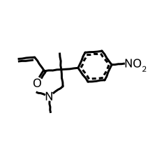 C=CC(=O)C(C)(CN(C)C)c1ccc([N+](=O)[O-])cc1